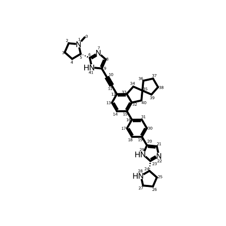 CN1CCC[C@H]1c1ncc(C#Cc2ccc(-c3ccc(-c4cnc([C@@H]5CCCN5)[nH]4)cc3)c3c2CC2(CCCC2)C3)[nH]1